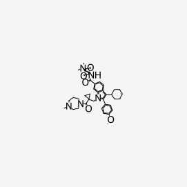 COc1ccc(-c2c(C3CCCCC3)c3ccc(C(=O)NS(=O)(=O)N(C)C)cc3n2CC2(C(=O)N3CCCN(C)CC3)CC2)cc1